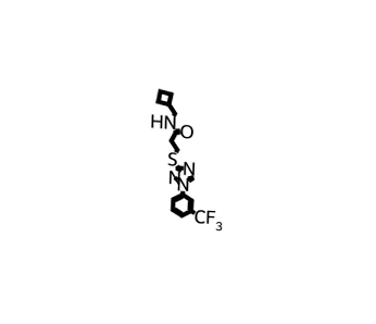 O=C(CCSc1ncn(-c2cccc(C(F)(F)F)c2)n1)NCC1CCC1